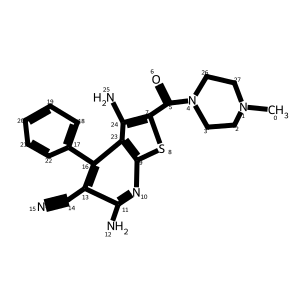 CN1CCN(C(=O)c2sc3nc(N)c(C#N)c(-c4ccccc4)c3c2N)CC1